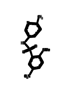 COc1ccc([N+](=O)[O-])cc1S(=O)(=O)Nc1ccc(C(F)(F)F)nc1